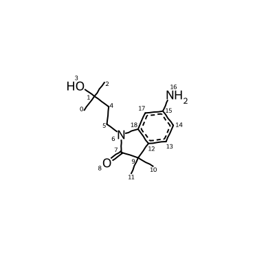 CC(C)(O)CCN1C(=O)C(C)(C)c2ccc(N)cc21